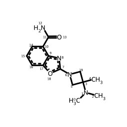 CN(C)C1(C)CN(c2nc3c(C(N)=O)[c]ccc3o2)C1